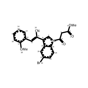 COC(=O)CC(=O)n1cc(C(C#N)=Cc2cnccc2OC)c2cc(Br)ccc21